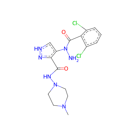 CN1CCN(NC(=O)c2n[nH]cc2N(N)C(=O)c2c(Cl)cccc2Cl)CC1